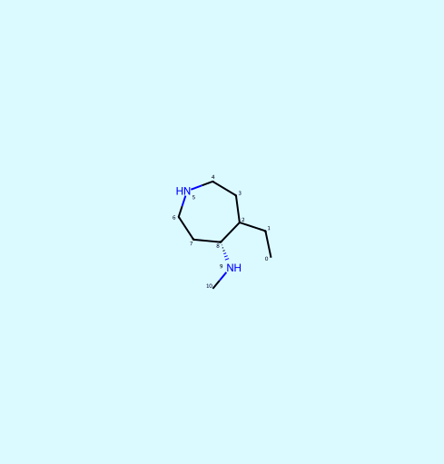 CCC1CCNCC[C@H]1NC